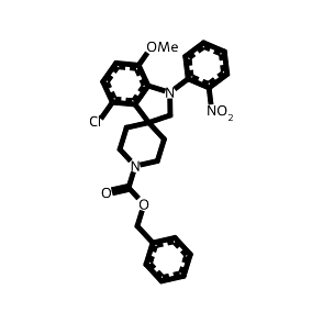 COc1ccc(Cl)c2c1N(c1ccccc1[N+](=O)[O-])CC21CCN(C(=O)OCc2ccccc2)CC1